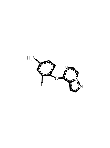 Nc1ccc(Oc2nccn3nccc23)c(F)c1